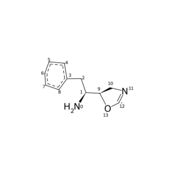 N[C@@H](Cc1ccccc1)[C@H]1CN=[C]O1